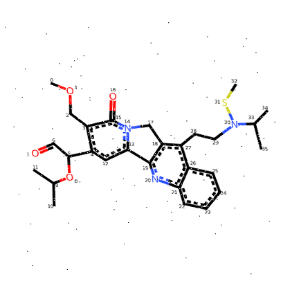 COCc1c(C(C=O)OC(C)C)cc2n(c1=O)Cc1c-2nc2ccccc2c1CCN(SC)C(C)C